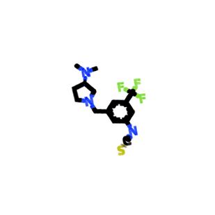 CN(C)[C@@H]1CCN(Cc2cc(N=C=S)cc(C(F)(F)F)c2)C1